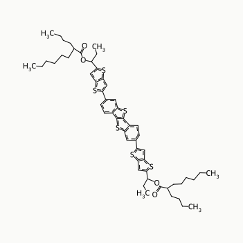 CCCCCCC(CCCC)C(=O)OC(CC)c1cc2sc(-c3ccc4c(c3)sc3c5ccc(-c6cc7sc(C(CC)OC(=O)C(CCCC)CCCCCC)cc7s6)cc5sc43)cc2s1